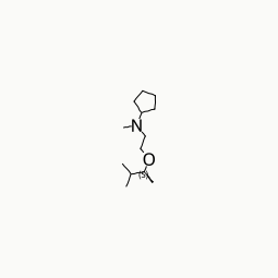 CC(C)[C@H](C)OCCN(C)C1CCCC1